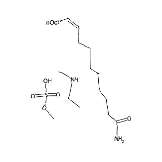 CCCCCCCC/C=C\CCCCCCCC(N)=O.CCNC.COS(=O)(=O)O